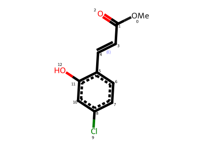 COC(=O)/C=C/c1ccc(Cl)cc1O